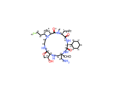 CCCC[C@H]1C(=O)N(C)[C@@H](CC(C)C)C(=O)N[C@@H](C2CCCCC2)C(=O)N[C@](C=O)(CN)CN[C@@H]([C@H](C)O)C(=O)NCCN1CCCF